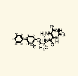 C[C@H](COc1ccc(-c2ccccc2)cc1Cl)NC(=O)c1[nH]c(=O)[nH]c(=O)c1N